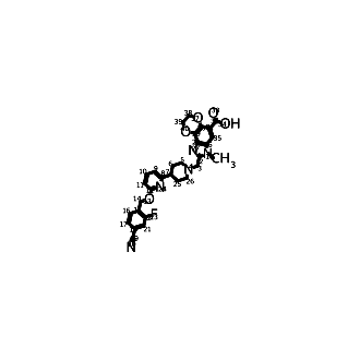 Cn1c(CN2CCC(c3cccc(OCc4ccc(C#N)cc4F)n3)CC2)nc2c3c(c(C(=O)O)cc21)OCCO3